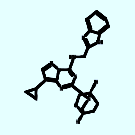 c1ccc2[nH]c(CNc3nc(N4C[C@@H]5CC[C@H]4CO5)nc4c(C5CC5)cnn34)nc2c1